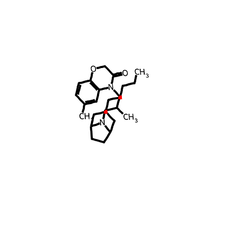 CCCCCC1CC2CCC(C1)N2CC(C)CN1C(=O)COc2ccc(C)cc21